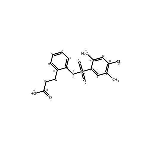 Cc1cc(S(=O)(=O)Nc2ccccc2CCC(=O)O)c(C)cc1Cl